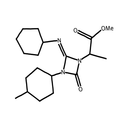 COC(=O)C(C)N1C(=O)N(C2CCC(C)CC2)C1=NC1CCCCC1